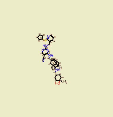 C[C@]1(O)CC[C@H](CN[C@@H]2[C@@H]3CC4C[C@H]2C[C@@](CNc2nc(NCc5cccnc5SC5CCCC5)ncc2C#N)(C4)C3)CC1